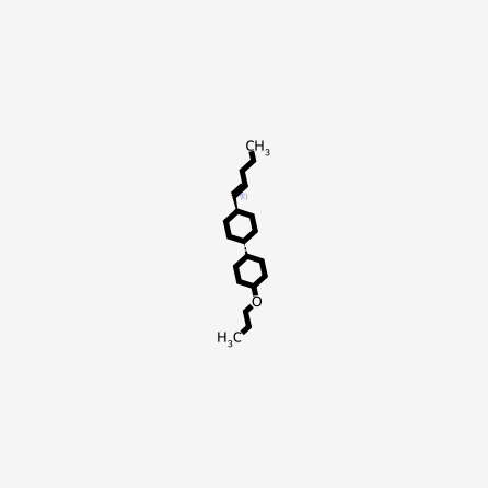 CCC/C=C/[C@H]1CC[C@H](C2CCC(OCCC)CC2)CC1